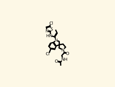 CC=C(Nc1ncc(Cl)s1)N1CC2(CCN(C(=O)CNC(C)=O)C2)c2cc(Cl)ccc21